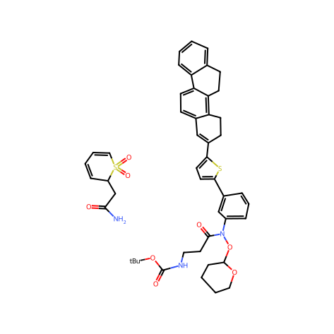 CC(C)(C)OC(=O)NCCC(=O)N(OC1CCCCO1)c1cccc(-c2ccc(C3=Cc4ccc5c(c4CC3)CCc3ccccc3-5)s2)c1.NC(=O)CC1C=CC=CS1(=O)=O